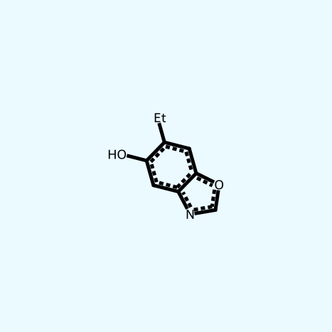 CCc1cc2ocnc2cc1O